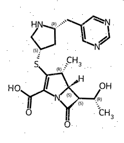 C[C@@H](O)[C@H]1C(=O)N2C(C(=O)O)=C(S[C@@H]3CN[C@H](Cc4cncnc4)C3)[C@H](C)[C@H]12